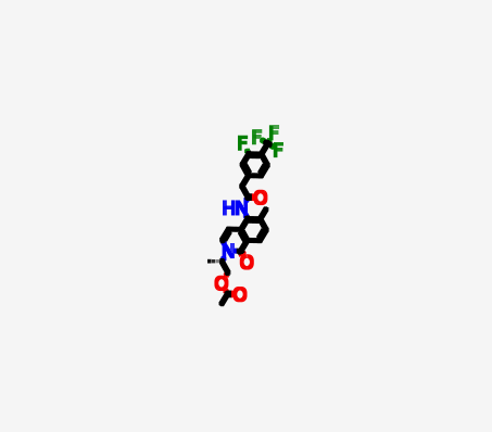 CC(=O)OC[C@H](C)n1ccc2c(NC(=O)Cc3ccc(C(F)(F)F)c(F)c3)c(C)ccc2c1=O